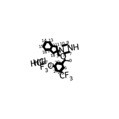 C[C@H](OCC1(N2CCNCC2)Cc2ccccc2C1)c1cc(C(F)(F)F)cc(C(F)(F)F)c1.Cl.Cl